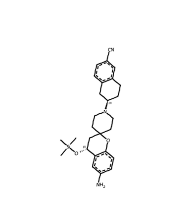 C[Si](C)(C)O[C@@H]1CC2(CCN([C@@H]3CCc4cc(C#N)ccc4C3)CC2)Oc2ccc(N)cc21